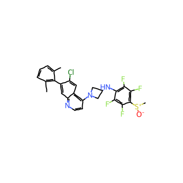 Cc1cccc(C)c1-c1cc2nccc(N3CC(Nc4c(F)c(F)c([S+](C)[O-])c(F)c4F)C3)c2cc1Cl